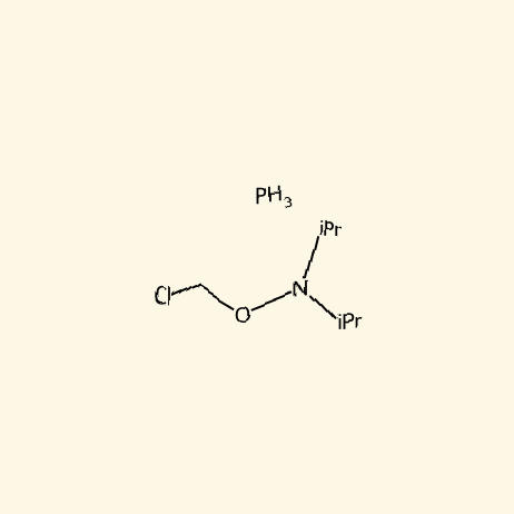 CC(C)N(OCCl)C(C)C.P